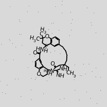 CCC12CCCCc3ccc4c(c3)[C@H](CC(C)(C)O4)NC(=O)c3ccc4c(c3)[C@@H](CCO4)N(C(=N)N1)C(=O)C2